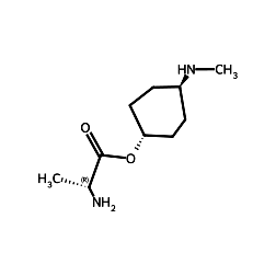 CN[C@H]1CC[C@H](OC(=O)[C@@H](C)N)CC1